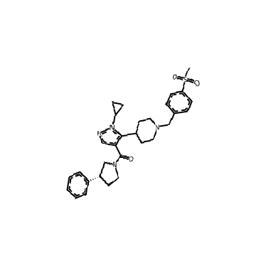 CS(=O)(=O)c1ccc(CN2CCC(c3c(C(=O)N4CC[C@H](c5ccccc5)C4)cnn3C3CC3)CC2)cc1